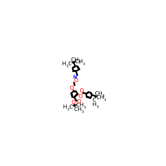 CC(C)(C)OC(=O)c1ccc(OCCON=Cc2ccc(C(C)(C)C)cc2)cc1OC(=O)c1ccc(C(C)(C)C)cc1